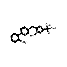 CCCn1nc(C(CC)(OC)OC)nc1Cc1ccc(-c2ccccc2C(=O)O)nc1